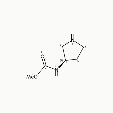 COC(=O)N[C@@H]1CCNC1